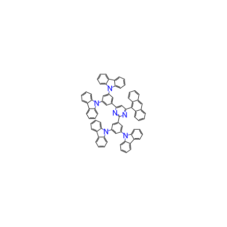 c1ccc2c(-c3cc(-c4cc(-n5c6ccccc6c6ccccc65)cc(-n5c6ccccc6c6ccccc65)c4)nc(-c4cc(-n5c6ccccc6c6ccccc65)cc(-n5c6ccccc6c6ccccc65)c4)n3)c3ccccc3cc2c1